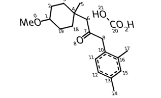 COC1CCC(C)(CC(=O)Cc2ccc(C)cc2C)CC1.O=C(O)O